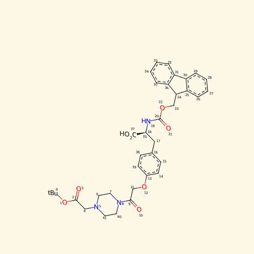 CC(C)(C)OC(=O)CN1CCN(C(=O)COc2ccc(C[C@H](NC(=O)OCC3c4ccccc4-c4ccccc43)C(=O)O)cc2)CC1